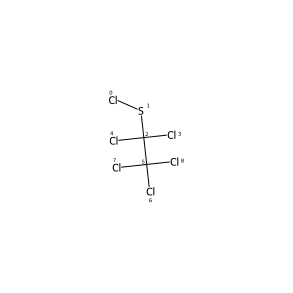 ClSC(Cl)(Cl)C(Cl)(Cl)Cl